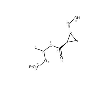 CCOC(=O)OC(C)OC(=O)[C@@H]1C[C@H]1CO